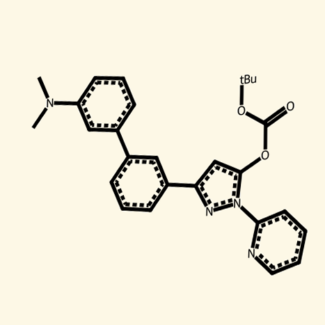 CN(C)c1cccc(-c2cccc(-c3cc(OC(=O)OC(C)(C)C)n(-c4ccccn4)n3)c2)c1